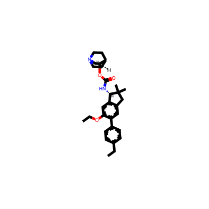 CCOc1cc2c(cc1-c1ccc(CC)cc1)CC(C)(C)[C@H]2NC(=O)O[C@H]1CN2CCC1CC2